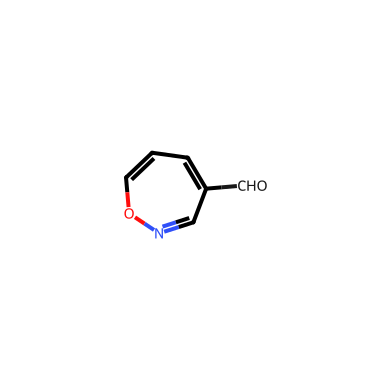 O=CC1=CC=CON=C1